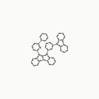 c1ccc(-c2cccc(-n3c4ccccc4c4c5ccccc5n(-c5cccc(-n6c7ccccc7c7ccccc76)c5)c43)n2)cc1